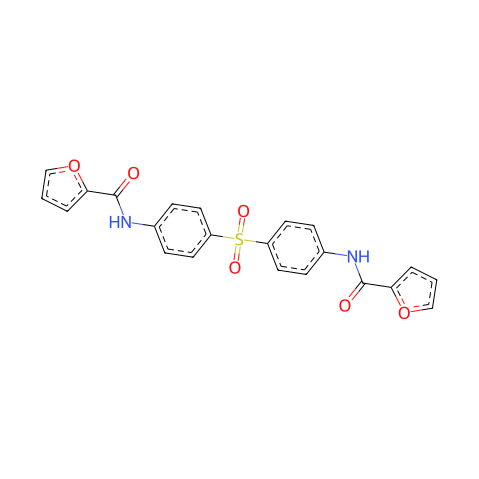 O=C(Nc1ccc(S(=O)(=O)c2ccc(NC(=O)c3ccco3)cc2)cc1)c1ccco1